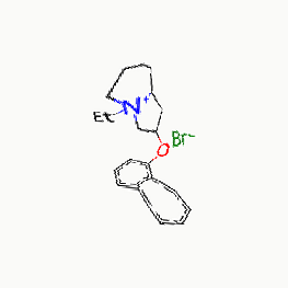 CC[N+]12CCCC1CC(Oc1cccc3ccccc13)C2.[Br-]